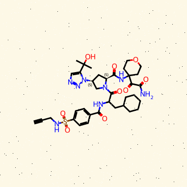 C#CCNS(=O)(=O)c1ccc(C(=O)NC(CC2CCCCC2)C(=O)N2C[C@@H](n3nncc3C(C)(C)O)C[C@H]2C(=O)NC2(C(=O)C(N)=O)CCOCC2)cc1